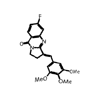 COc1cc(/C=C2\CCn3c2nc2cc(F)ccc2c3=O)cc(OC)c1OC